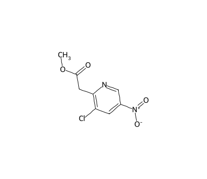 COC(=O)Cc1ncc([N+](=O)[O-])cc1Cl